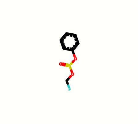 O=S(OCF)Oc1ccccc1